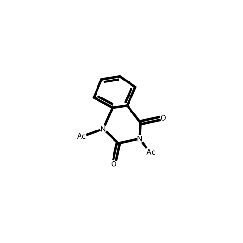 CC(=O)n1c(=O)c2ccccc2n(C(C)=O)c1=O